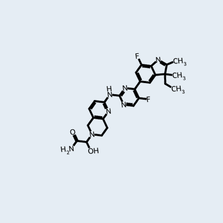 CCC1(C)C(C)=Nc2c(F)cc(-c3nc(Nc4ccc5c(n4)CCN(C(O)C(N)=O)C5)ncc3F)cc21